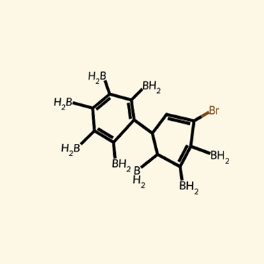 BC1=C(B)C(B)C(c2c(B)c(B)c(B)c(B)c2B)C=C1Br